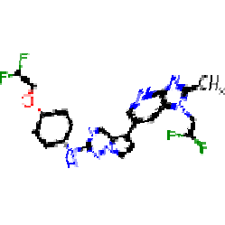 Cc1nc2ncc(-c3ccn4nc(N[C@H]5CC[C@@H](OCC(F)F)CC5)ncc34)cc2n1CC(F)F